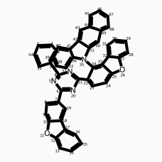 c1ccc(-c2nc(-c3ccc4oc5ccccc5c4c3)nc(-c3ccc4oc5ccccc5c4c3-n3c4ccccc4c4cc5ccccc5cc43)n2)cc1